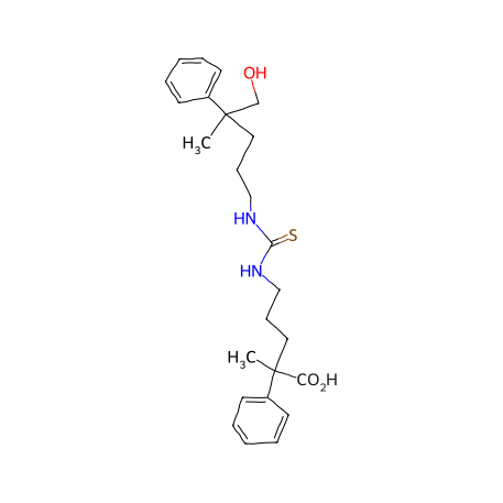 CC(CO)(CCCNC(=S)NCCCC(C)(C(=O)O)c1ccccc1)c1ccccc1